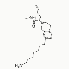 C=CCCC(C(=O)NC)N1CCc2ccc(CCCCCCCN)cc2C1